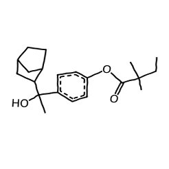 CCC(C)(C)C(=O)Oc1ccc(C(C)(O)C2CC3CCC2C3)cc1